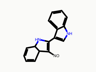 O=NC1=C(c2c[nH]c3ccccc23)NC2C=CC=CC12